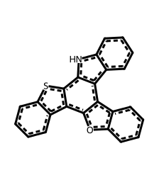 c1ccc2c(c1)[nH]c1c3sc4ccccc4c3c3oc4ccccc4c3c21